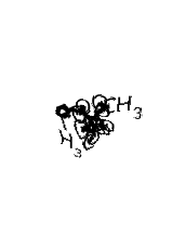 CO[C@H]1C(=O)N2C(C(=O)OCc3cccc(I)c3)=C(COC(C)=O)CS(=O)(=O)[C@H]12